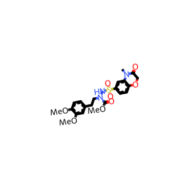 COC(=O)N(CCc1ccc(OC)c(OC)c1)NS(=O)(=O)c1ccc2c(c1)N(C)C(=O)CO2